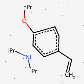 C=Cc1ccc(OCCC)cc1.CC(C)NC(C)C